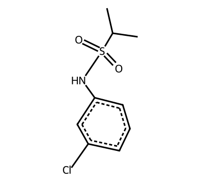 CC(C)S(=O)(=O)Nc1cccc(Cl)c1